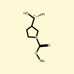 CCC[C@@H](O)C1CCN(C(=O)OC(C)(C)C)C1